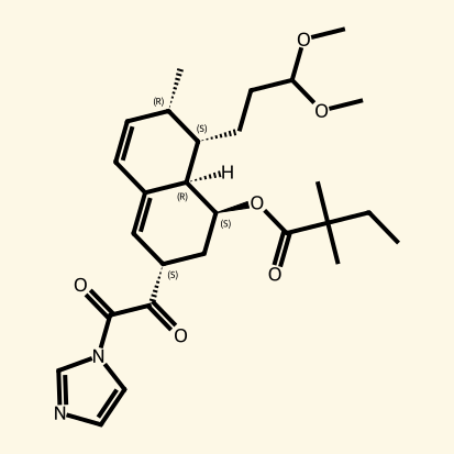 CCC(C)(C)C(=O)O[C@H]1C[C@H](C(=O)C(=O)n2ccnc2)C=C2C=C[C@H](C)[C@H](CCC(OC)OC)[C@H]21